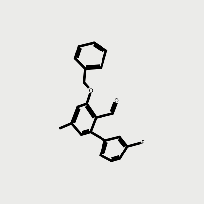 Cc1cc(OCc2ccccc2)c(C=O)c(-c2cccc(F)c2)c1